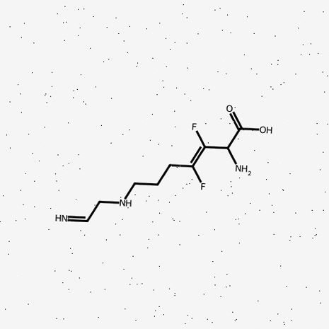 N=CCNCCCC(F)=C(F)C(N)C(=O)O